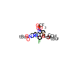 CC(C)(C)OC(=O)N1CCc2cc(-c3nc(OS(=O)(=O)C(F)(F)F)c4ccsc4c3-c3c(F)cc(F)cc3OCCO[Si](C)(C)C(C)(C)C)nn2CC1